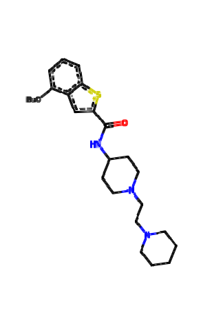 CC(C)COc1cccc2sc(C(=O)NC3CCN(CCN4CCCCC4)CC3)cc12